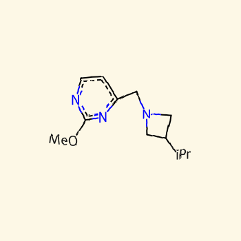 COc1nccc(CN2CC(C(C)C)C2)n1